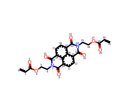 C=CC(=O)OCCN1C(=O)c2ccc3c4c(ccc(c24)C1=O)C(=O)N(CCOC(=O)C=C)C3=O